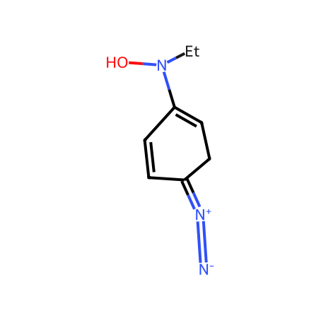 CCN(O)C1=CCC(=[N+]=[N-])C=C1